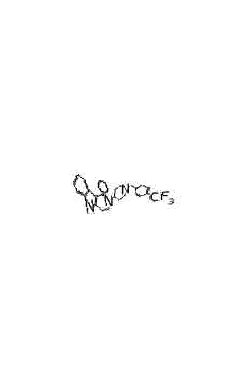 Cn1c2c(c3ccccc31)C(=O)N(C1CCN(Cc3ccc(C(F)(F)F)cc3)CC1)CC2